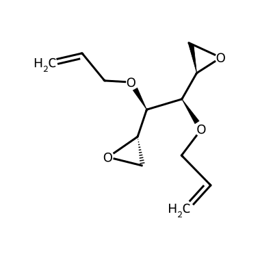 C=CCO[C@@H]([C@H](OCC=C)[C@H]1CO1)[C@@H]1CO1